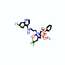 COC1(CS(=O)(=O)c2ccccc2)C=C(CC(F)(F)F)C(=O)N1CCCNc1ccnc2cc(Cl)ccc12